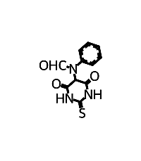 O=CN(c1ccccc1)C1C(=O)NC(=S)NC1=O